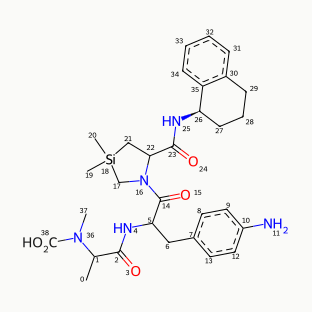 CC(C(=O)NC(Cc1ccc(N)cc1)C(=O)N1C[Si](C)(C)CC1C(=O)N[C@@H]1CCCc2ccccc21)N(C)C(=O)O